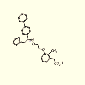 Cc1c(CC(=O)O)cccc1OCCO/N=C(\Cn1cccn1)c1ccc(-c2ccccc2)cc1